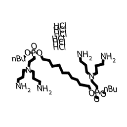 CCCCOP(=O)(CCN(CCCN)CCCN)OCCCCCCCCCCOP(=O)(CCN(CCCN)CCCN)OCCCC.Cl.Cl.Cl.Cl.Cl.Cl